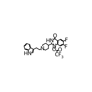 O=C1NC(C2CCN(CCc3c[nH]c4ccccc34)CC2)N(OC(=O)C(F)(F)F)c2cc(F)c(F)cc21